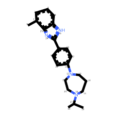 Cc1cccc2[nH]c(-c3ccc(N4CCCN(C(C)C)CC4)cc3)nc12